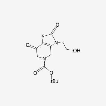 CC(C)(C)OC(=O)N1CC(=O)c2sc(=O)n(CCO)c2C1